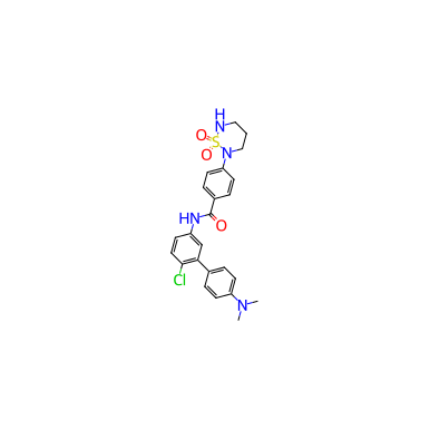 CN(C)c1ccc(-c2cc(NC(=O)c3ccc(N4CCCNS4(=O)=O)cc3)ccc2Cl)cc1